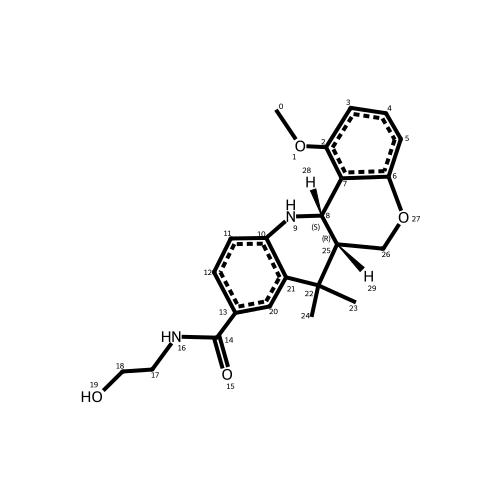 COc1cccc2c1[C@H]1Nc3ccc(C(=O)NCCO)cc3C(C)(C)[C@H]1CO2